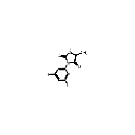 CC1NC(=O)N(c2cc(F)cc(F)c2)C1=O